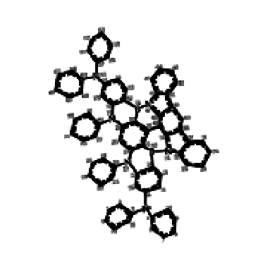 c1ccc(N(c2ccccc2)c2ccc3c(c2)N(c2ccccc2)c2cc4c5c6c2B3n2c3ccccc3c3cc7c8ccccc8n(c7c-6c32)B5c2ccc(N(c3ccccc3)c3ccccc3)cc2N4c2ccccc2)cc1